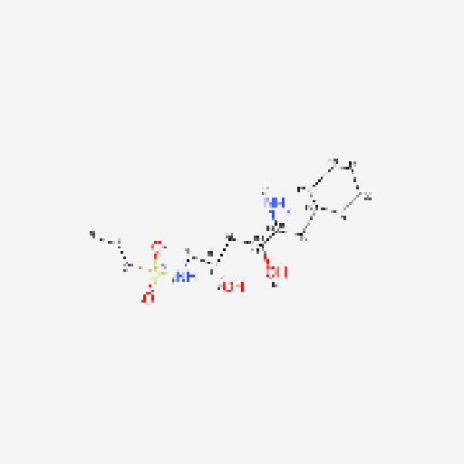 CCCS(=O)(=O)NC[C@@H](O)C[C@H](O)[C@@H](N)CC1CCCCC1